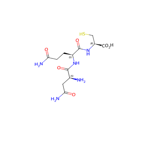 NC(=O)CC[C@H](NC(=O)[C@@H](N)CC(N)=O)C(=O)N[C@@H](CS)C(=O)O